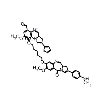 CNc1ccc(C2=CN3C(=O)c4cc(OC)c(OCCCCCOc5cc(/N=C\C6CC(c7cccs7)=CN6C)c(C=O)cc5OC)cc4N=CC3C2)cc1